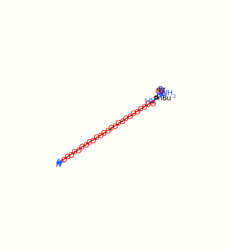 CCCCc1nc2c(N)nnc(OC(C)C)c2n1Cc1ccc(CNC(=O)CCOCCOCCOCCOCCOCCOCCOCCOCCOCCOCCOCCOCCOCCOCCOCCOCCOCCOCCOCCOCCOCCOCCOCCOCCN=[N+]=[N-])cc1